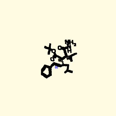 CC(C)CC(/C=C/c1ccccc1)[C@H](C(=O)OC(C)(C)C)[C@H](C(=O)NN)C(C)C